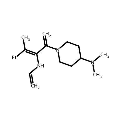 C=CN/C(C(=C)N1CCC(N(C)C)CC1)=C(/C)CC